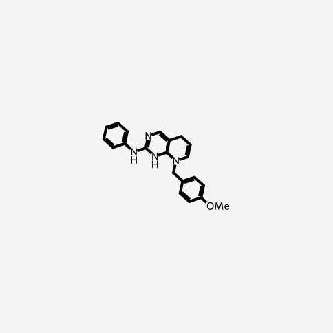 COc1ccc(CN2C=CCC3=CN=C(Nc4ccccc4)NC32)cc1